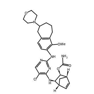 COc1c(Nc2ncc(Cl)c(N[C@H]3[C@@H](OC(N)=O)[C@@H]4C=C[C@H]3C4)n2)ccc2c1CCCC(N1CCOCC1)C2